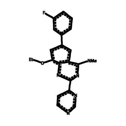 CCOc1cc(-c2cccc(F)c2)cc2c(NC)nc(-c3ccncn3)nc12